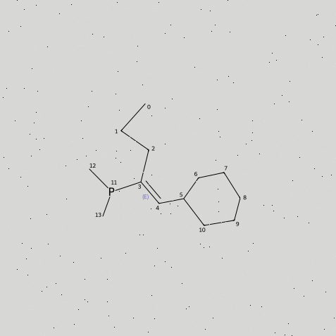 CCC/C(=C\C1CCCCC1)P(C)C